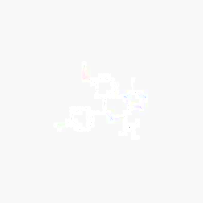 COc1ccc2c(c1)C(c1ccc(Cl)cc1)=NC(C(C)(C)C)c1nnc(C)n1-2